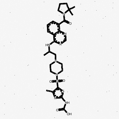 Cc1nc(NC(=O)O)sc1S(=O)(=O)N1CCN(CC(C)Nc2ncnc3c(C(=O)N4CCCC4(C)C)cccc23)CC1